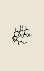 CCCC(C)c1nc(CN(C)C(=O)N[C@H](C(=O)O)C(C)C)cs1